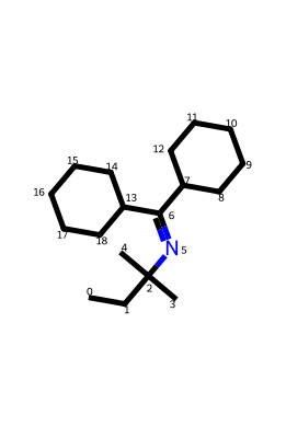 CCC(C)(C)N=C(C1CCCCC1)C1CCCCC1